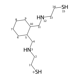 SCCNCC1CCCCC1CNCCS